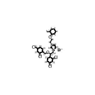 Cc1ccccc1OCCn1cc[n+](CC(OCc2ccc(Cl)cc2Cl)c2ccc(Cl)cc2Cl)c1.[Br-]